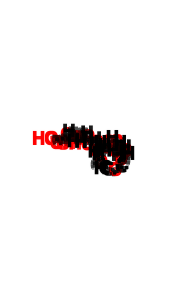 C=C1CC2CC[C@@]34C[C@H]5O[C@H]6C(O3)[C@H]3O[C@H](CC[C@@H]3O[C@H]6C5O4)CC(=O)O[C@@H]3[C@@H](C)[C@@H]4O[C@@H]5C[C@]6(C[C@@H]7OC8(C[C@H](C)[C@@H]9O[C@H]([C@@H](O)C[C@@H](O)CO)C[C@@H]9O8)C[C@H](C)[C@@H]7O6)OC5C[C@@H]4O[C@H]3CC3O[C@@H](CCC1O2)C[C@@H](C)C3=C